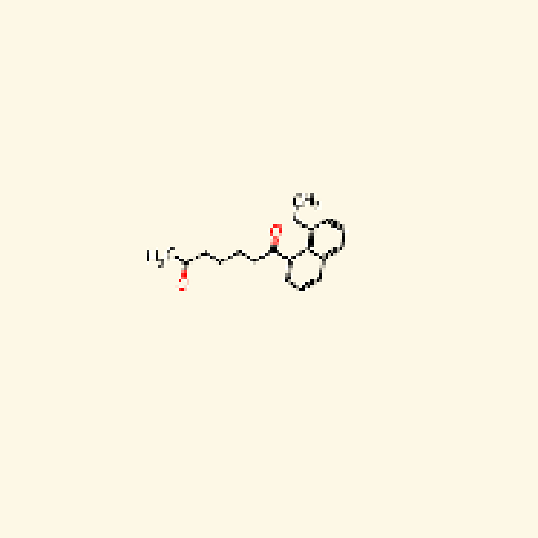 CCc1cccc2cccc(C(=O)CCCCC(C)=O)c12